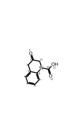 O=C1Cc2ccccc2N(C(=O)O)C1